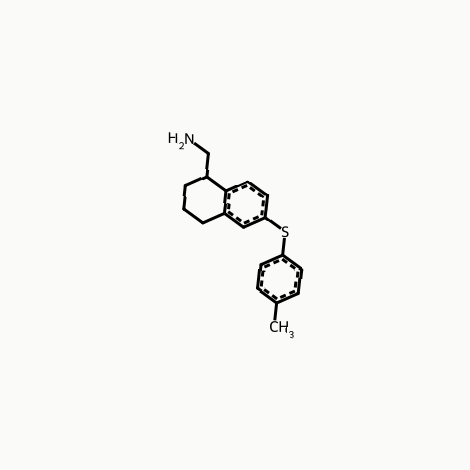 Cc1ccc(Sc2ccc3c(c2)CCCC3CN)cc1